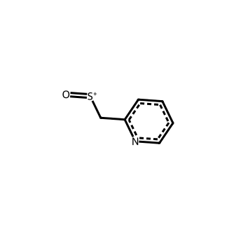 O=[S+]Cc1ccccn1